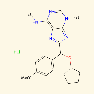 CCNc1ncn(CC)c2nc(C(OC3CCCC3)c3ccc(OC)cc3)nc1-2.Cl